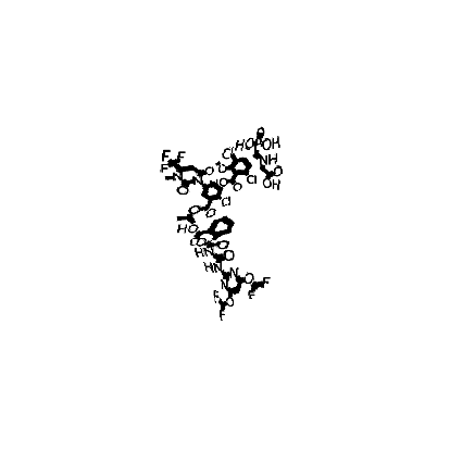 CC(C)OC(=O)c1cc(-n2c(=O)cc(C(F)(F)F)n(C)c2=O)ccc1Cl.COc1c(Cl)ccc(Cl)c1C(=O)O.O=C(Nc1nc(OC(F)F)cc(OC(F)F)n1)NS(=O)(=O)c1ccccc1C(=O)O.O=C(O)CNCP(=O)(O)O